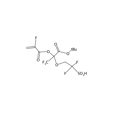 C=C(F)C(=O)OC(OCC(F)(F)S(=O)(=O)O)(C(=O)OC(C)(C)C)C(F)(F)F